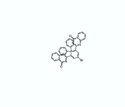 O=c1nc(C2=CC(Br)=CC(c3nc(=O)c4ccccc4s3)=P2(c2ccccc2)c2ccccc2)sc2ccccc12